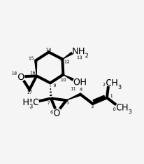 CC(C)=CC[C@H]1OC1(C)[C@H]1[C@H](O)[C@H](N)CC[C@]12CO2